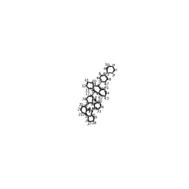 c1ccc(-c2ccc(-c3c4ccccc4c(-c4ccc(-c5cccc6c7ccccc7n(-c7ccccc7)c56)cn4)c4ccccc34)cc2)cc1